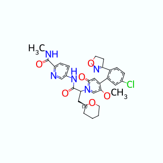 CNC(=O)c1ccc(NC(=O)C(C[C@@H]2CCCCO2)n2cc(OC)c(-c3cc(Cl)ccc3C3=NOCC3)cc2=O)cn1